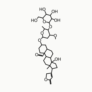 C=C1C=C(C2CCC3(O)C4CCC5CC(OC6CC(OC)C(OC7OC(CO)C(O)C(O)C7O)C(C)O6)CCC5(C=O)C4CCC23C)CO1